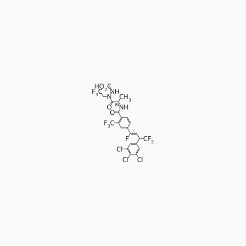 C[C@@H](NC(=O)c1ccc(/C(F)=C/C(c2cc(Cl)c(Cl)c(Cl)c2)C(F)(F)F)cc1C(F)(F)F)C(=O)N(CC(F)(F)F)NC(=O)O